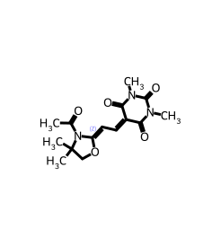 CC(=O)N1/C(=C/C=C2C(=O)N(C)C(=O)N(C)C2=O)OCC1(C)C